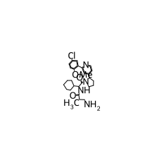 COc1ccc(Cl)cc1-c1cc(C2CCCN2C(=O)C(NC(=O)C(C)CN)C2CCCCC2)ccn1